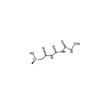 C[C@@H](O)CC(=O)NC(=O)NC(=O)NC=O